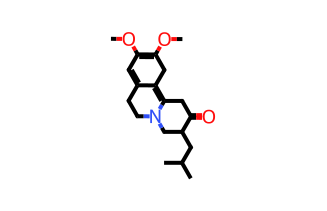 COC1=C(OC)CC2=C3CC(=O)C(CC(C)C)CN3CCC2=C1